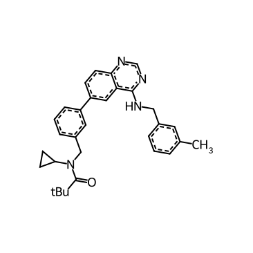 Cc1cccc(CNc2ncnc3ccc(-c4cccc(CN(C(=O)C(C)(C)C)C5CC5)c4)cc23)c1